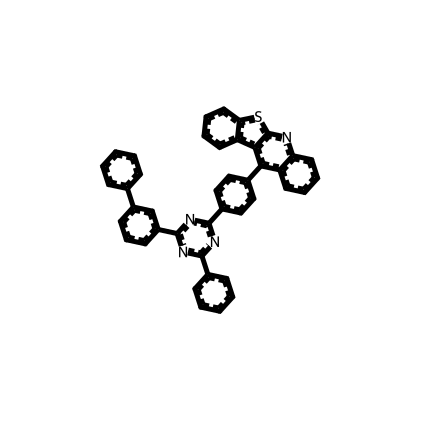 c1ccc(-c2cccc(-c3nc(-c4ccccc4)nc(-c4ccc(-c5c6ccccc6nc6sc7ccccc7c56)cc4)n3)c2)cc1